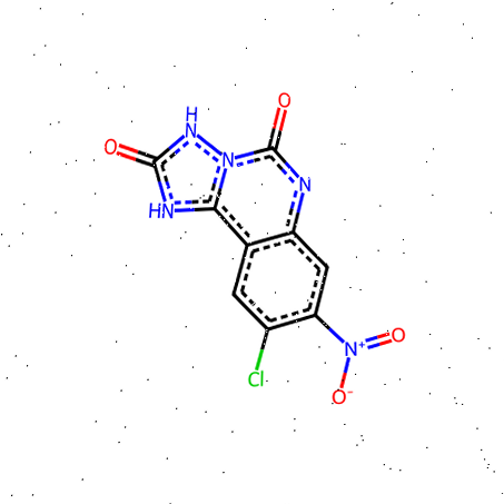 O=c1[nH]c2c3cc(Cl)c([N+](=O)[O-])cc3nc(=O)n2[nH]1